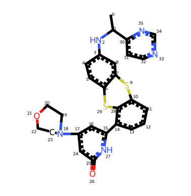 CC(Nc1ccc2c(c1)Sc1cccc(-c3cc(N4CCOCC4)cc(=O)[nH]3)c1S2)c1ccncn1